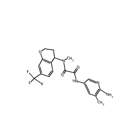 Cc1cc(NC(=O)C(=O)N(C)C2CCOc3cc(C(F)(F)F)ccc32)cnc1N